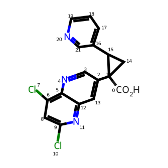 O=C(O)C1(c2cnc3c(Cl)cc(Cl)nc3c2)CC1c1cccnc1